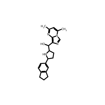 Cc1cc(C)n2cnc(C(O)C3CCC(c4ccc5c(c4)CCC5)N3)c2n1